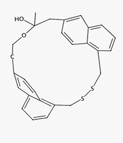 CC1(O)Cc2ccc3c(cccc3c2)CSSCc2cccc3cc(ccc23)CCO1